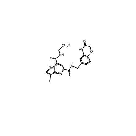 O=C(O)CNC(=O)c1cc(C(=O)NCc2ccc3c(c2)NC(=O)CO3)nc2c(F)cnn12